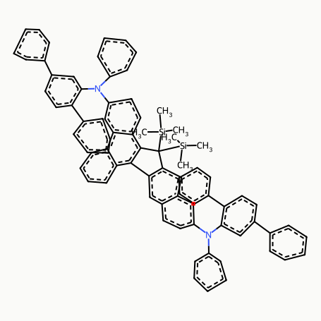 C[Si](C)(C)C1([Si](C)(C)C)c2cc3cc(N(c4ccccc4)c4cc(-c5ccccc5)ccc4-c4ccccc4)ccc3cc2-c2c1c1ccc(N(c3ccccc3)c3cc(-c4ccccc4)ccc3-c3ccccc3)cc1c1ccccc21